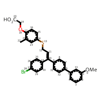 COc1cccc(-c2ccc(C(=CCSc3ccc(OCC(=O)O)c(C)c3)c3ccc(Br)cc3)cc2)c1